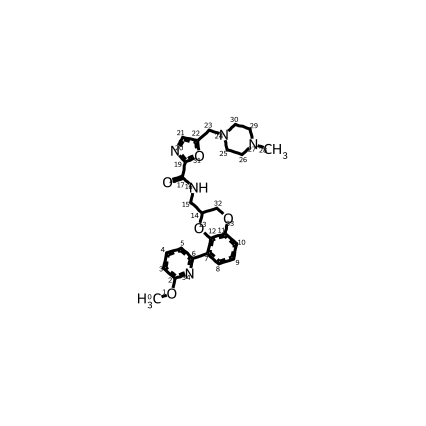 COc1cccc(-c2cccc3c2OC(CNC(=O)c2ncc(CN4CCN(C)CC4)o2)CO3)n1